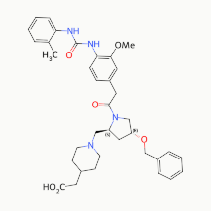 COc1cc(CC(=O)N2C[C@H](OCc3ccccc3)C[C@H]2CN2CCC(CC(=O)O)CC2)ccc1NC(=O)Nc1ccccc1C